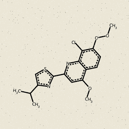 COOc1ccc2c(OC)cc(-c3nc(C(C)C)cs3)nc2c1Cl